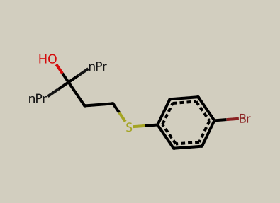 CCCC(O)(CCC)CCSc1ccc(Br)cc1